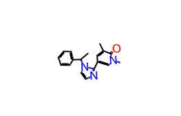 Cc1cc(-c2nccn2C(C)c2ccccc2)cn(C)c1=O